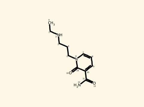 CCNCCCn1cccc(C(N)=O)c1=O